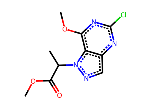 COC(=O)C(C)n1ncc2nc(Cl)nc(OC)c21